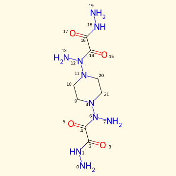 NNC(=O)C(=O)N(N)N1CCN(N(N)C(=O)C(=O)NN)CC1